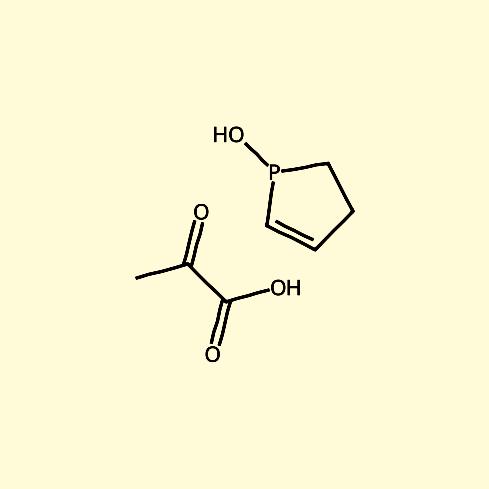 CC(=O)C(=O)O.OP1C=CCC1